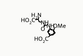 COc1ccc(C(=O)O)cc1NC(=O)NCC(N)C(=O)O